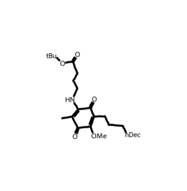 CCCCCCCCCCCCCC1=C(OC)C(=O)C(C)=C(NCCCC(=O)OC(C)(C)C)C1=O